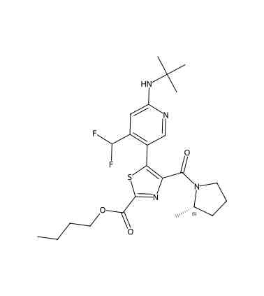 CCCCOC(=O)c1nc(C(=O)N2CCC[C@@H]2C)c(-c2cnc(NC(C)(C)C)cc2C(F)F)s1